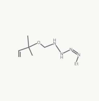 C=CC(C)(C)OCNN/N=N\CC